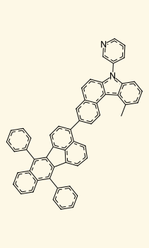 Cc1cccc2c1c1c3ccc(-c4ccc5c6c(cccc46)-c4c-5c(-c5ccccc5)c5ccccc5c4-c4ccccc4)cc3ccc1n2-c1cccnc1